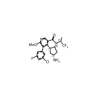 COc1ncc(C(=O)N[C@@H](C)C(F)(F)F)c(N2CC[C@H](N)C2)c1-c1cc(F)cc(Cl)c1